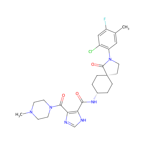 Cc1cc(N2CC[C@]3(CC[C@@H](NC(=O)c4[nH]cnc4C(=O)N4CCN(C)CC4)CC3)C2=O)c(Cl)cc1F